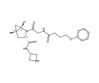 C[C@@]12C[C@@H]1N(C(=O)CNC(=O)CCCOc1ccccc1)[C@H](C(=O)NC1CNC1)C2